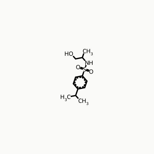 CC(CO)NS(=O)(=O)c1ccc(C(C)C)cc1